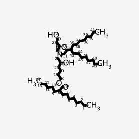 CCCCCCCCC(CCCCCC)C(=O)OCCCC[C@H](O)CN(CCCCO)C[C@H](O)C(CCCCCCCC)CCCCCCCC